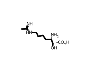 CC(=N)NCCCC[C@H](N)[C@@H](O)C(=O)O